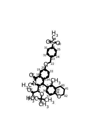 Cc1c(-c2c(C(OC(C)(C)C)C(=O)O)n(C)c(=O)c3cc(OCc4ccc(S(C)(=O)=O)cc4)ccc23)ccc2c1CCCO2